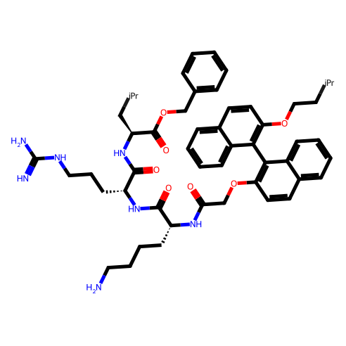 CC(C)CCOc1ccc2ccccc2c1-c1c(OCC(=O)N[C@H](CCCCN)C(=O)N[C@H](CCCNC(=N)N)C(=O)N[C@@H](CC(C)C)C(=O)OCc2ccccc2)ccc2ccccc12